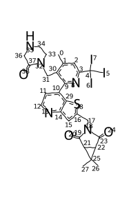 Cc1cc(C(I)(I)I)nc(-c2ccnc3cc(CN4C(=O)C5C(C4=O)C5(C)C)sc23)c1CN1CCNCC1=O